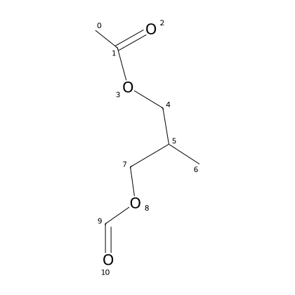 CC(=O)OCC(C)COC=O